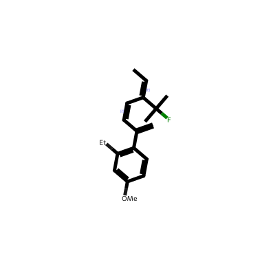 C=C(/C=C\C(=C/C)C(C)(C)F)c1ccc(OC)cc1CC